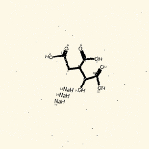 O=C(O)CC(C(=O)O)C(O)C(=O)O.[NaH].[NaH].[NaH]